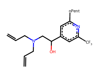 C=CCN(CC=C)CC(O)c1cc(CCCCC)nc(C(F)(F)F)c1